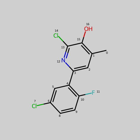 Cc1cc(-c2cc(Cl)ccc2F)nc(Cl)c1O